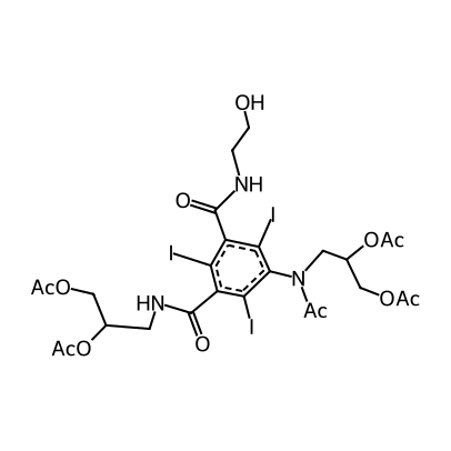 CC(=O)OCC(CNC(=O)c1c(I)c(C(=O)NCCO)c(I)c(N(CC(COC(C)=O)OC(C)=O)C(C)=O)c1I)OC(C)=O